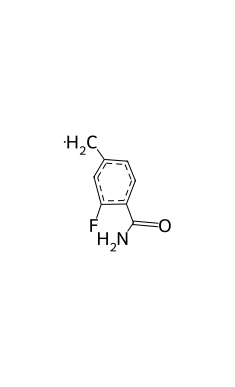 [CH2]c1ccc(C(N)=O)c(F)c1